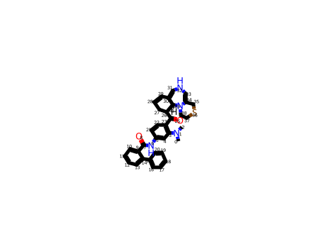 CN(C)c1cc(NC(=O)c2ccccc2-c2ccccc2)ccc1C(=O)C1CC=CC2=CNC=C3CSCCN3[C@H]21